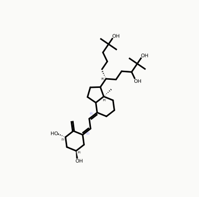 C=C1/C(=C\C=C2/CCC[C@@]3(C)C2CCC3[C@H](CCCC(C)(C)O)CCC(O)C(C)(C)O)C[C@@H](O)C[C@@H]1O